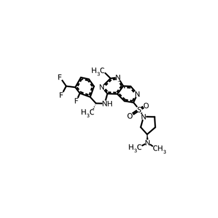 Cc1nc(N[C@H](C)c2cccc(C(F)F)c2F)c2cc(S(=O)(=O)N3CC[C@@H](N(C)C)C3)ncc2n1